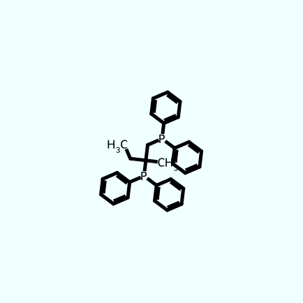 CCC(C)(CP(c1ccccc1)c1ccccc1)P(c1ccccc1)c1ccccc1